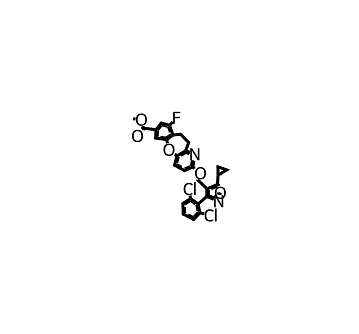 COC(=O)c1cc(F)c2c(c1)Oc1ccc(OCc3c(-c4c(Cl)cccc4Cl)noc3C3CC3)nc1CC2